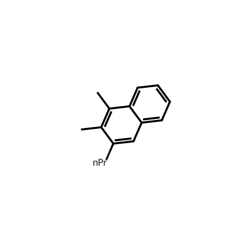 CCCc1cc2ccccc2c(C)c1C